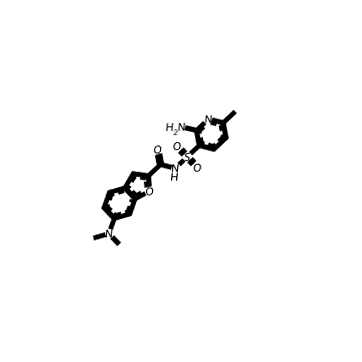 Cc1ccc(S(=O)(=O)NC(=O)c2cc3ccc(N(C)C)cc3o2)c(N)n1